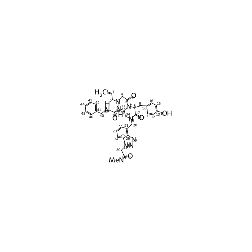 C=CCN1CC(=O)N2[C@@H](Cc3ccc(O)cc3)C(=O)N(Cc3cccc4c3nnn4CC(=O)NC)C[C@@H]2N1C(=O)NCc1ccccc1